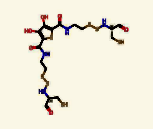 O=C[C@H](CS)NSSCCNC(=O)c1sc(C(=O)NCCSSN[C@H](C=O)CS)c(O)c1O